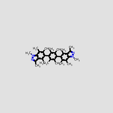 Cc1c(C)c(-c2c(C)c(C)c3c(c(C)nn3C)c2C)c(C)c(C)c1-c1c(C)c(C)c2c(c(C)nn2C)c1C